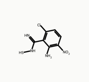 N=C(NS)c1c(Cl)ccc([N+](=O)[O-])c1N